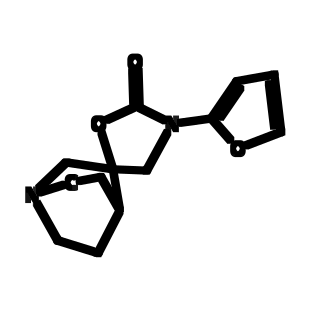 O=C1OC2(CN3CCC2CC3)CN1c1ccco1